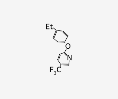 CCc1ccc(Oc2ccc(C(F)(F)F)cn2)cc1